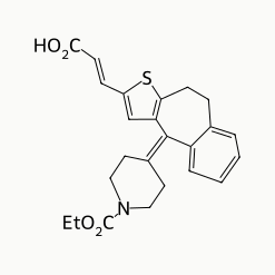 CCOC(=O)N1CCC(=C2c3ccccc3CCc3sc(C=CC(=O)O)cc32)CC1